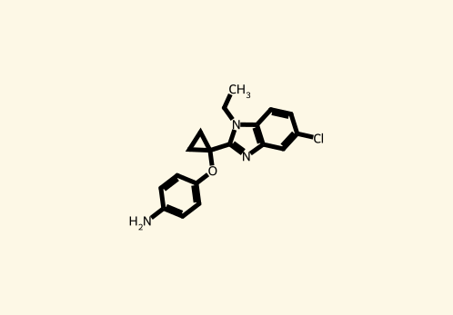 CCn1c(C2(Oc3ccc(N)cc3)CC2)nc2cc(Cl)ccc21